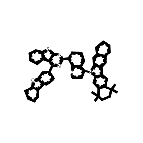 CC1(C)CCC(C)(C)c2cc3c(cc21)c1cc2ccccc2cc1n3-c1cccc2c(-c3nc(-c4ccc5c(c4)oc4ccccc45)c4c(n3)sc3ccccc34)cccc12